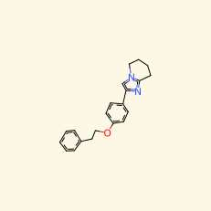 c1ccc(CCOc2ccc(-c3cn4c(n3)CCCC4)cc2)cc1